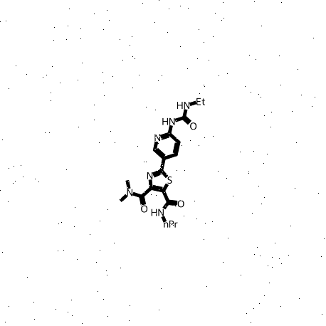 CCCNC(=O)c1sc(-c2ccc(NC(=O)NCC)nc2)nc1C(=O)N(C)C